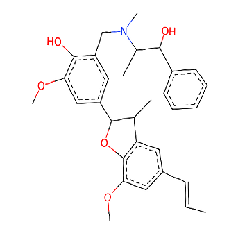 C/C=C/c1cc(OC)c2c(c1)C(C)C(c1cc(CN(C)C(C)C(O)c3ccccc3)c(O)c(OC)c1)O2